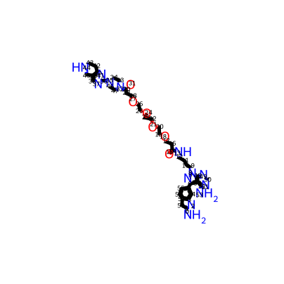 NC1=Nc2cc(-c3nn(CCCCNC(=O)CCOCCOCCOCCOCCC(=O)N4CCN(c5ncc6c(n5)CCNC6)CC4)c4ncnc(N)c34)ccc2C1